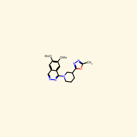 COc1cc2cnnc(N3CCCC(c4nnc(C)o4)C3)c2cc1OC